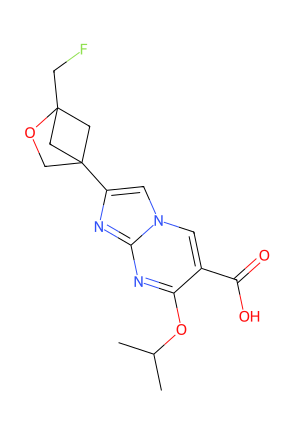 CC(C)Oc1nc2nc(C34COC(CF)(C3)C4)cn2cc1C(=O)O